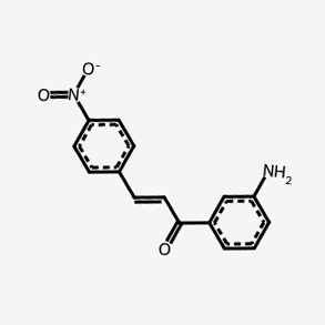 Nc1cccc(C(=O)C=Cc2ccc([N+](=O)[O-])cc2)c1